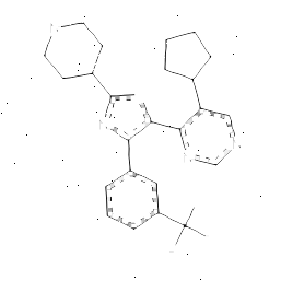 FC(F)(F)c1cccc(-c2nc(C3CCNCC3)sc2-c2n[c]ncc2C2CCCC2)c1